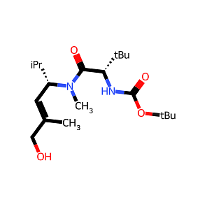 C/C(=C\[C@H](C(C)C)N(C)C(=O)[C@@H](NC(=O)OC(C)(C)C)C(C)(C)C)CO